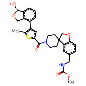 CSc1sc(C(=O)N2CCC3(CC2)COc2ccc(CNC(=O)OC(C)(C)C)cc23)cc1-c1cccc2c1COB2O